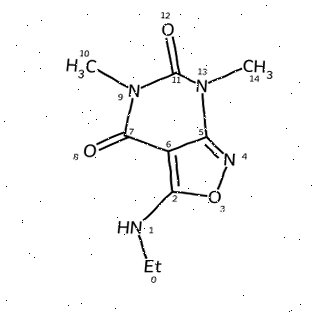 CCNc1onc2c1c(=O)n(C)c(=O)n2C